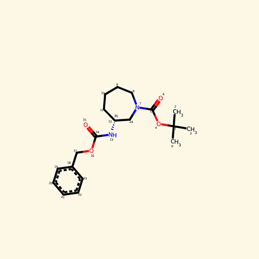 CC(C)(C)OC(=O)N1CCCC[C@@H](NC(=O)OCc2ccccc2)C1